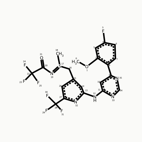 COc1cc(F)ccc1-c1cc(Nc2cc(CS(C)=NC(=O)C(F)(F)F)cc(C(F)(F)F)n2)ncn1